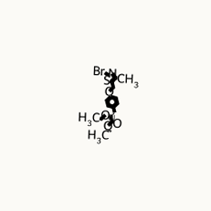 CCOC(=O)[C@@H](Cc1ccc(OCc2sc(Br)nc2C)cc1)OCC